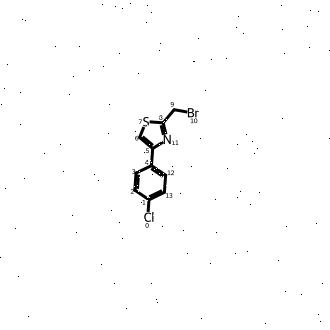 Clc1ccc(-c2csc(CBr)n2)cc1